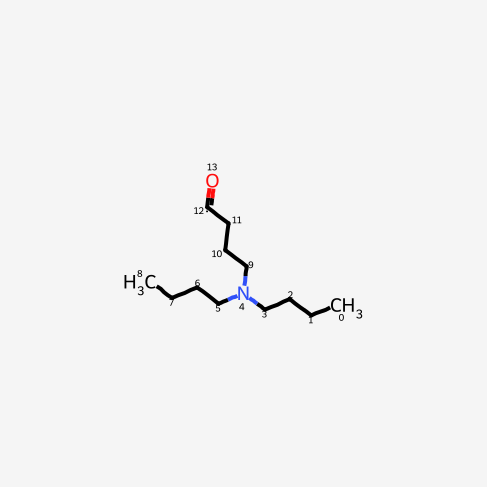 CCCCN(CCCC)CCC[C]=O